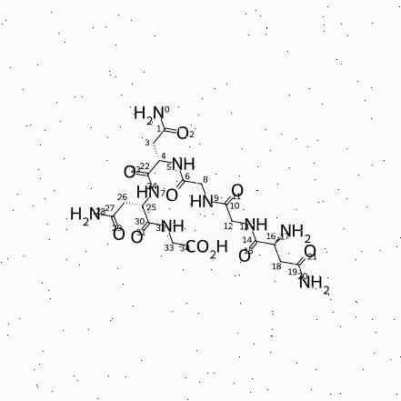 NC(=O)C[C@H](NC(=O)CNC(=O)CNC(=O)[C@@H](N)CC(N)=O)C(=O)N[C@@H](CC(N)=O)C(=O)NCC(=O)O